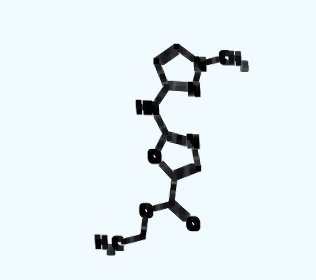 CCOC(=O)c1cnc(Nc2ccn(C)n2)o1